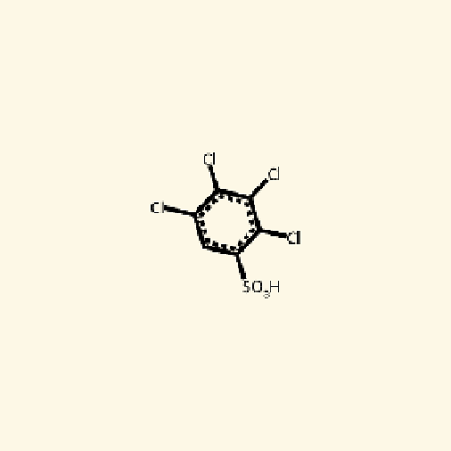 O=S(=O)(O)c1cc(Cl)c(Cl)c(Cl)c1Cl